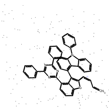 C=C/C=C\c1oc2cccc(-c3nc(-c4ccccc4)nc(-c4ccccc4)n3)c2c1-c1cccc2c1c1ccccc1n2-c1ccccc1